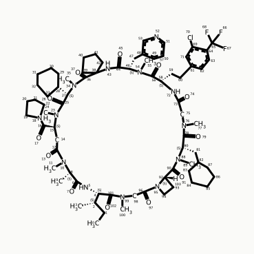 CC[C@H](C)[C@@H]1NC(=O)[C@H](C)N(C)C(=O)C[C@@H](C(=O)N2CCCC2)N(C)C(=O)[C@H](C2CCCCC2)N(C)C(=O)C2(CCCC2)NC(=O)[C@H](Cc2cccnc2)N(C)C(=O)[C@H](CCc2ccc(C(F)(F)F)c(Cl)c2)NC(=O)CN(C)C(=O)[C@H](CC2CCCCC2)N(C)C(=O)[C@@H]2CCN2C(=O)CN(C)C1=O